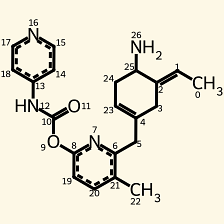 C/C=C1\CC(Cc2nc(OC(=O)Nc3ccncc3)ccc2C)=CCC1N